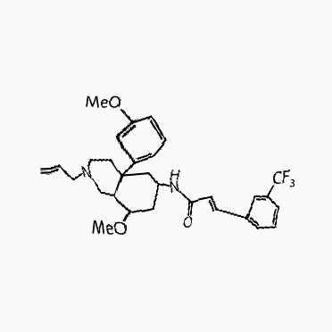 C=CCN1CCC2(c3cccc(OC)c3)CC(NC(=O)/C=C/c3cccc(C(F)(F)F)c3)CC(OC)C2C1